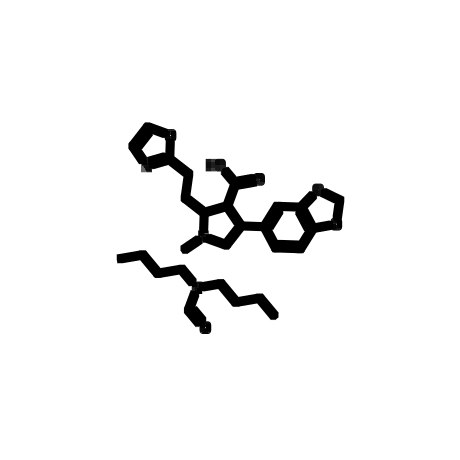 CCCCN(C=O)CCCC.CN1CC(c2ccc3c(c2)OCO3)C(C(=O)O)C1CCc1ncco1